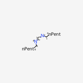 CCCCCCN=C=NCCCCCC